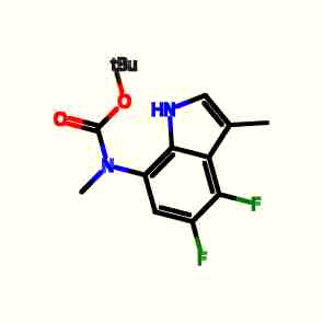 Cc1c[nH]c2c(N(C)C(=O)OC(C)(C)C)cc(F)c(F)c12